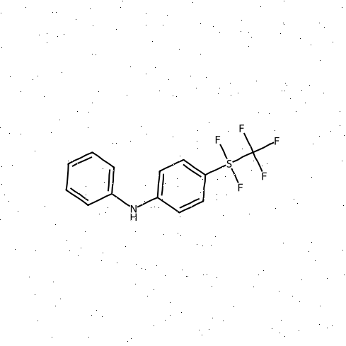 FC(F)(F)S(F)(F)c1ccc(Nc2ccccc2)cc1